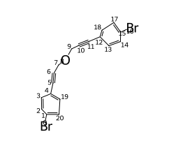 Brc1ccc(C#CCOCC#Cc2ccc(Br)cc2)cc1